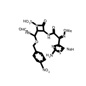 CO/N=C(\C(=O)NC1C(=O)N(S(=O)(=O)O)C1C(NC=O)OCc1ccc([N+](=O)[O-])cc1)c1csc(N)n1.[NaH]